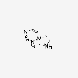 C1=C[N+]2(CCNC2)NN=N1